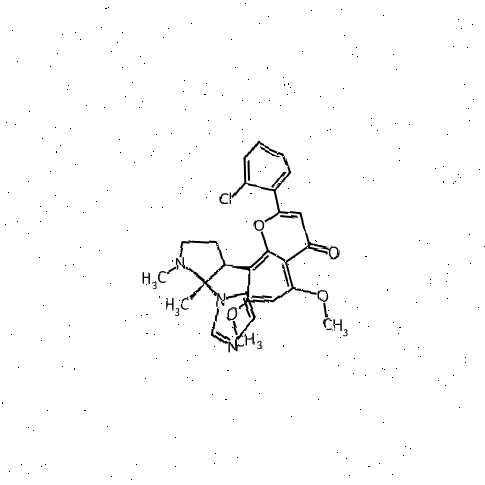 COc1cc(OC)c2c(=O)cc(-c3ccccc3Cl)oc2c1[C@@H]1CCN(C)[C@@]1(C)n1ccnc1